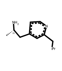 CC(C)Cc1cc(C[C@H](C)N)ccn1